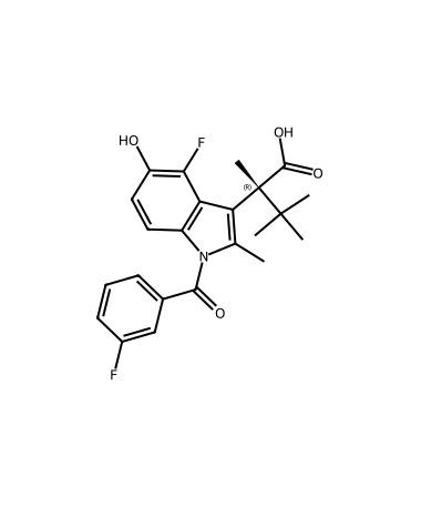 Cc1c([C@](C)(C(=O)O)C(C)(C)C)c2c(F)c(O)ccc2n1C(=O)c1cccc(F)c1